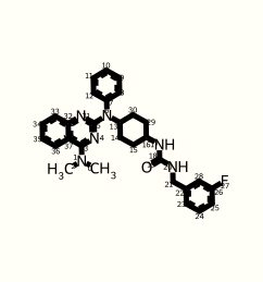 CN(C)c1nc(N(c2ccccc2)C2CCC(NC(=O)NCc3cccc(F)c3)CC2)nc2ccccc12